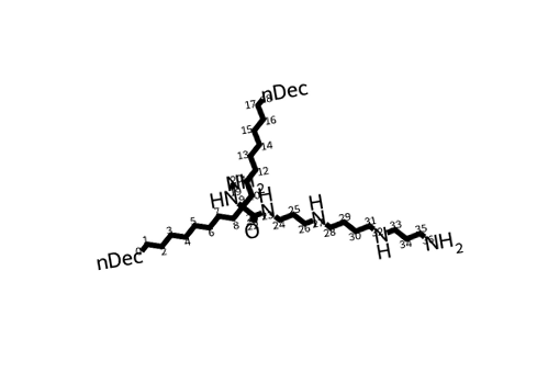 CCCCCCCCCCCCCCCCCCC(CCCCCCCCCCCCCCCCCC)(NN)C(=O)NCCCNCCCCNCCCN